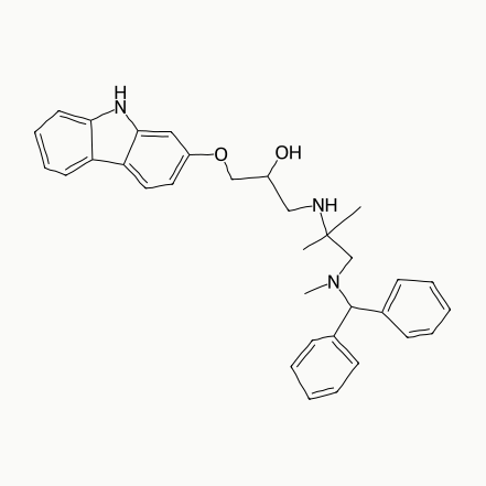 CN(CC(C)(C)NCC(O)COc1ccc2c(c1)[nH]c1ccccc12)C(c1ccccc1)c1ccccc1